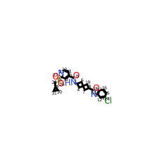 O=C(NC1CC2(C1)CC(c1nc3cc(Cl)ccc3o1)C2)c1ccnc(S(=O)(=O)CC2CC2)c1